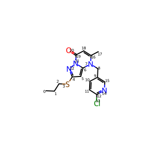 CCCSc1cc2n(Cc3ccc(Cl)nc3)c(C)cc(=O)n2n1